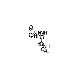 CC(C)(C)CC(=O)Nc1cncc(-c2ccc3[nH]nc(-c4nc5c(-c6ccoc6)cccc5[nH]4)c3c2)c1